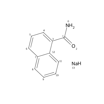 NC(=O)c1cccc2ccccc12.[NaH]